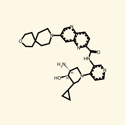 N[C@@H]1CN(c2ccncc2NC(=O)c2ccc3ncc(N4CCC5(CCOCC5)CC4)cc3n2)CC(C2CC2)[C@H]1O